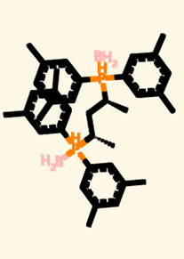 B[PH](c1cc(C)cc(C)c1)(c1cc(C)cc(C)c1)[C@@H](C)C[C@H](C)[PH](B)(c1cc(C)cc(C)c1)c1cc(C)cc(C)c1